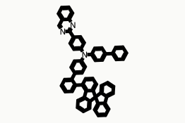 c1ccc(-c2ccc(N(c3ccc(-c4ncc5ccccc5n4)cc3)c3ccc(-c4ccccc4-c4cccc5c4-c4ccccc4C54c5ccccc5-c5ccccc54)cc3)cc2)cc1